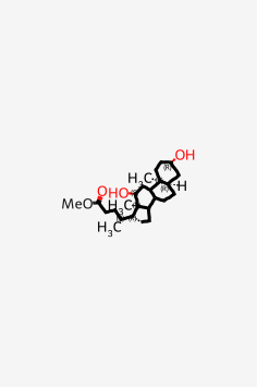 COC(=O)CC[C@@H](C)[C@H]1CCC2C3CC[C@@H]4C[C@H](O)CC[C@]4(C)C3C[C@H](O)[C@@]21C